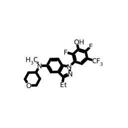 CCc1nn(-c2cc(C(F)(F)F)c(F)c(O)c2F)c2ccc(N(C)C3CCOCC3)cc12